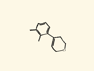 Cc1cccc(C2=CCOCC2)c1C